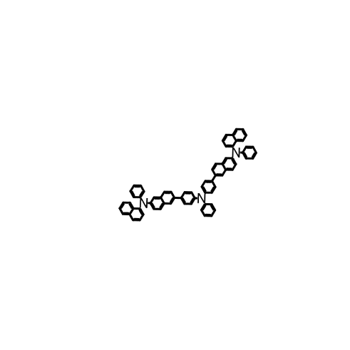 c1ccc(N(c2ccc(-c3ccc4cc(N(c5ccccc5)c5cccc6ccccc56)ccc4c3)cc2)c2ccc(-c3ccc4cc(N(c5ccccc5)c5cccc6ccccc56)ccc4c3)cc2)cc1